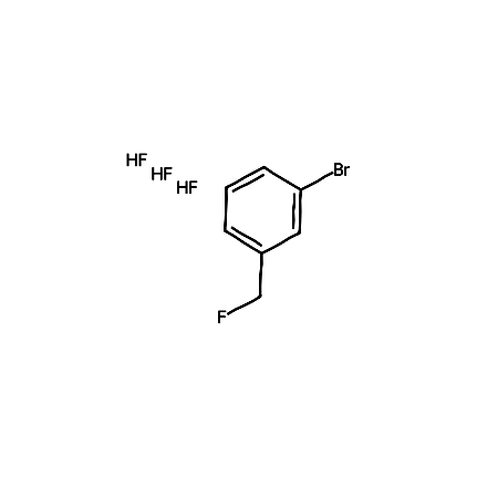 F.F.F.FCc1cccc(Br)c1